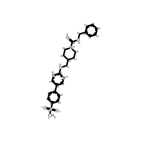 CS(=O)(=O)c1ccc(-c2cnc(OCC3CCN(C(=O)OCc4ccccc4)CC3)nc2)cc1